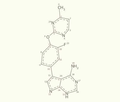 Cc1ccnc(Oc2ccc(-c3cnc4[nH]cnc(N)c3-4)cc2F)n1